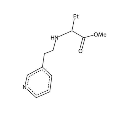 CCC(NCCc1cccnc1)C(=O)OC